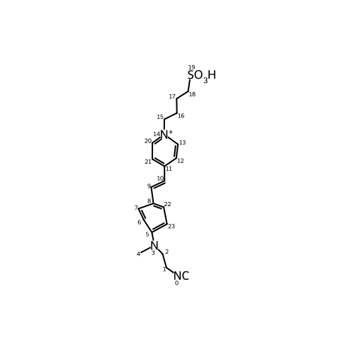 [C-]#[N+]CCN(C)c1ccc(/C=C/c2cc[n+](CCCCS(=O)(=O)O)cc2)cc1